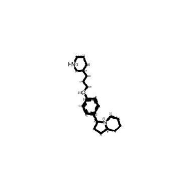 c1cc(C2CCC3CCCCN32)ccc1OCCCC1CCCNC1